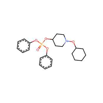 O=P(Oc1ccccc1)(Oc1ccccc1)OC1CCN(OC2CCCCC2)CC1